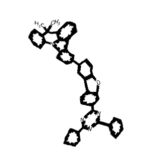 CC1(C)c2ccccc2-n2c3ccc(C4=CC5c6ccc(-c7nc(-c8ccccc8)nc(-c8ccccc8)n7)cc6OC5C=C4)cc3c3cccc1c32